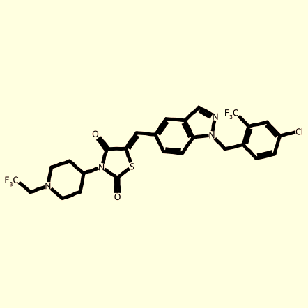 O=C1S/C(=C\c2ccc3c(cnn3Cc3ccc(Cl)cc3C(F)(F)F)c2)C(=O)N1C1CCN(CC(F)(F)F)CC1